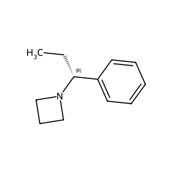 CC[C@H](c1ccccc1)N1CCC1